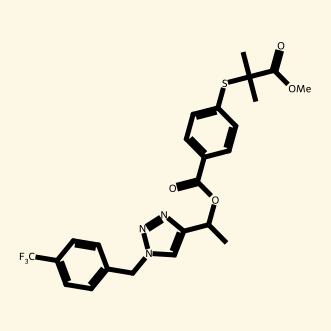 COC(=O)C(C)(C)Sc1ccc(C(=O)OC(C)c2cn(Cc3ccc(C(F)(F)F)cc3)nn2)cc1